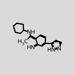 C/C(NC1CCCCC1)=C1/C=CC(c2ccn[nH]2)=CC1=N